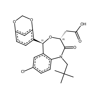 CC(C)(C)CN1C(=O)[C@@H](CC(=O)O)O[C@H](c2ccc3cc2OCO3)c2cc(Cl)ccc21